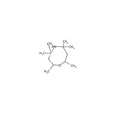 CC1CC(C)(C)NC(C)(C)CC(C)O1